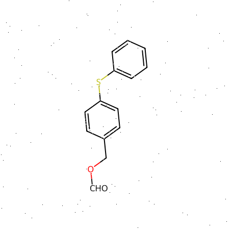 O=COCc1ccc(Sc2ccccc2)cc1